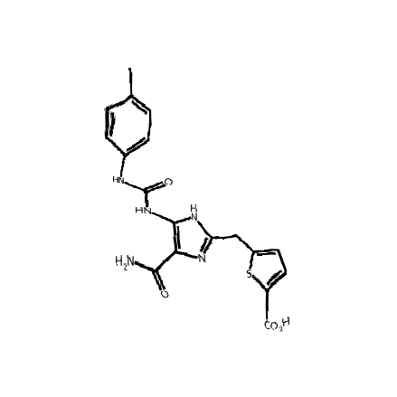 Cc1ccc(NC(=O)Nc2[nH]c(Cc3ccc(C(=O)O)s3)nc2C(N)=O)cc1